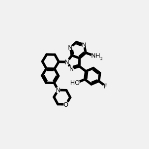 Nc1ncnc2c1c(-c1ccc(F)cc1O)nn2C1CCCc2ccc(N3CCOCC3)cc21